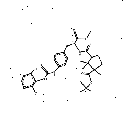 COC(=O)[C@H](Cc1ccc(NC(=O)Nc2c(Cl)cccc2Cl)cc1)NC(=O)C1CCC(C)(C(=O)OC(C)(C)C)C1(C)C